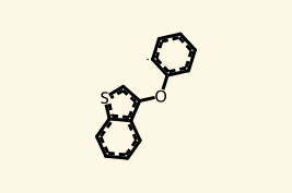 [c]1ccccc1Oc1csc2ccccc12